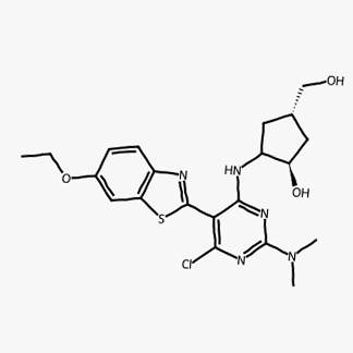 CCOc1ccc2nc(-c3c(Cl)nc(N(C)C)nc3NC3C[C@H](CO)C[C@H]3O)sc2c1